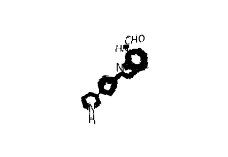 O=CNc1cccc2c1=NC(c1ccc([C@@H]3CCCNC3)cc1)C=2